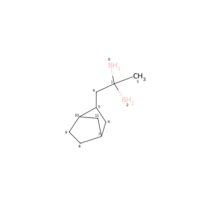 BC(B)(C)CC1CC2CCC1C2